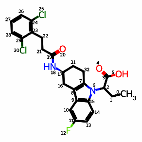 CCC(C(=O)O)n1c2c(c3cc(F)ccc31)C[C@@H](NC(=O)CCc1c(Cl)cccc1Cl)CC2